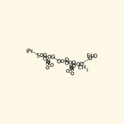 CCC1(COCCCCCCOc2ccc(C(=O)Oc3ccc(OC(=O)c4ccc(OCCCCOc5ccc(C(=O)Oc6ccc(SCCCCC(C)C)cc6)c(/C=N/N=C6c7ccccc7-c7ccccc76)c5)cc4)cc3/C=N/N=C3c4ccccc4-c4ccccc43)cc2C)COC1